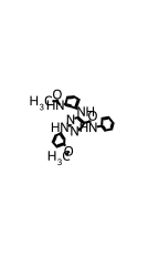 COc1cccc(Nc2ncc(C(=O)Nc3ccccc3)c(Nc3cccc(NC(C)=O)c3)n2)c1